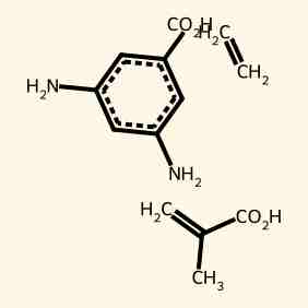 C=C.C=C(C)C(=O)O.Nc1cc(N)cc(C(=O)O)c1